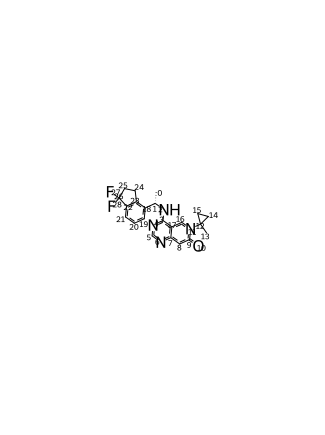 C[C@H](Nc1ncnc2cc(=O)n(C3(C)CC3)cc12)c1cccc2c1CCC2(F)F